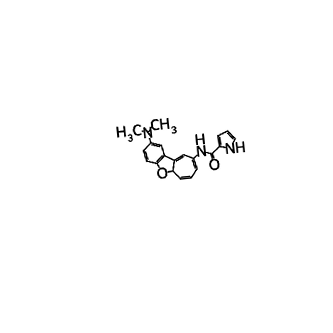 CN(C)c1ccc2c(c1)C1=CC(NC(=O)c3ccc[nH]3)=CC=CC1O2